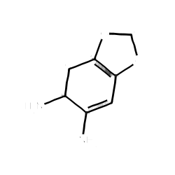 NC1=CC2=C(CC1N)OCO2